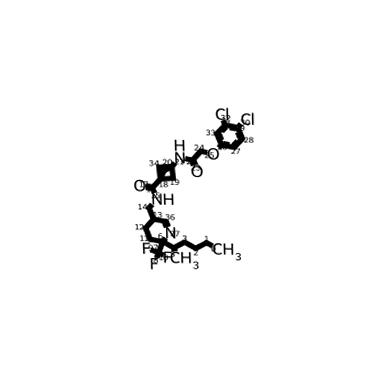 CCCCC(C)C1(C(F)(F)F)CCC(CNC(=O)C23CC(NC(=O)COc4ccc(Cl)c(Cl)c4)(C2)C3)C=N1